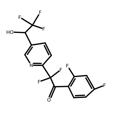 O=C(c1ccc(F)cc1F)C(F)(F)c1ccc(C(O)C(F)(F)F)cn1